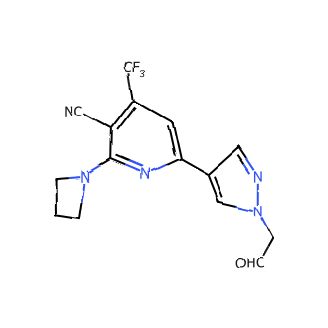 N#Cc1c(C(F)(F)F)cc(-c2cnn(CC=O)c2)nc1N1CCC1